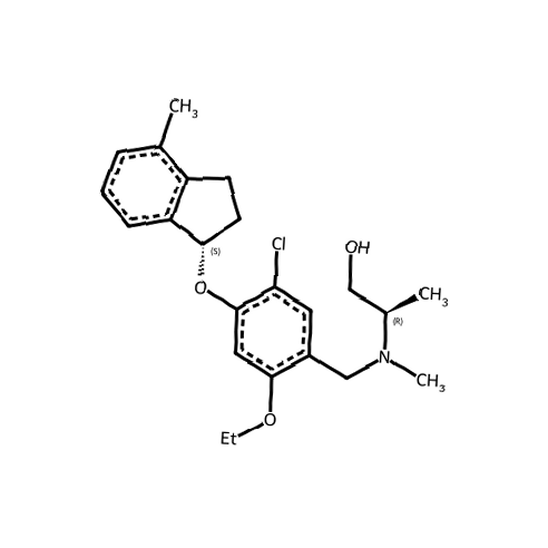 CCOc1cc(O[C@H]2CCc3c(C)cccc32)c(Cl)cc1CN(C)[C@H](C)CO